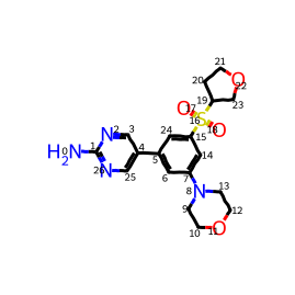 Nc1ncc(-c2cc(N3CCOCC3)cc(S(=O)(=O)C3CCOC3)c2)cn1